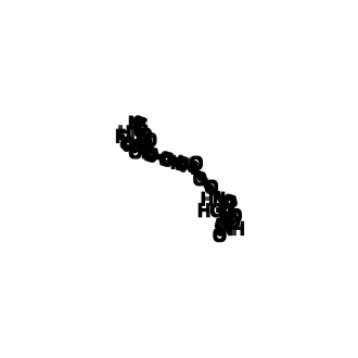 O=C1CCC(N2C(=O)c3cccc(NCCOCCOCCC(=O)N4CCN(c5ccc(-c6ccc7c(c6)C(=O)N(C(C(=O)Nc6nccs6)c6cc(F)ccc6O)C7)cc5)CC4)c3C2O)C(=O)N1